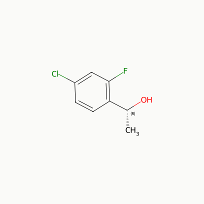 C[C@@H](O)c1ccc(Cl)cc1F